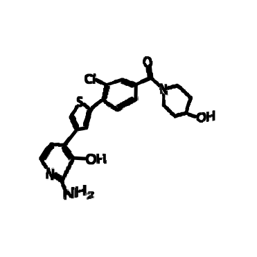 Nc1nccc(-c2csc(-c3ccc(C(=O)N4CCC(O)CC4)cc3Cl)c2)c1O